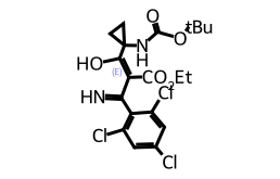 CCOC(=O)/C(C(=N)c1c(Cl)cc(Cl)cc1Cl)=C(/O)C1(NC(=O)OC(C)(C)C)CC1